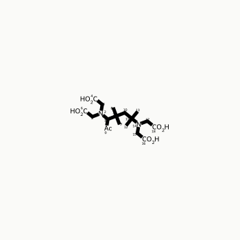 CC(=O)C(N(CC(=O)O)CC(=O)O)C(C)(C)CC(C)(C)N(CC(=O)O)CC(=O)O